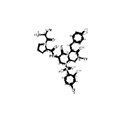 CC(C)C(N)C(=O)N1CCCC1C(=O)NC1CN(S(=O)(=O)c2ccc(Cl)cc2F)C2CN(C(C)C)C(=O)C(Cc3ccc(Cl)cc3)N2C1=O